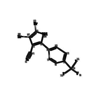 N#Cc1c(-c2ccc(C(F)(F)F)cc2)[nH]c(Br)c1Br